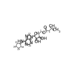 CC(C)CC(=O)OCC1OC(n2cnc3c(NC4CCCC4)ncnc32)[C@H](O)[C@@H]1O